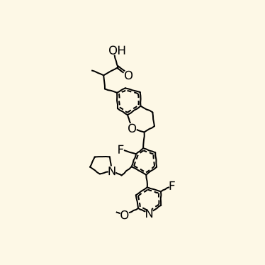 COc1cc(-c2ccc(C3CCc4ccc(CC(C)C(=O)O)cc4O3)c(F)c2CN2CCCC2)c(F)cn1